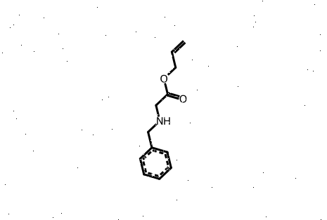 C=CCOC(=O)CNCc1ccccc1